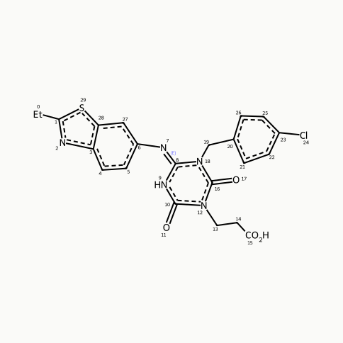 CCc1nc2ccc(/N=c3\[nH]c(=O)n(CCC(=O)O)c(=O)n3Cc3ccc(Cl)cc3)cc2s1